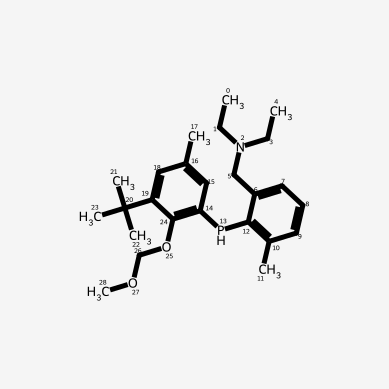 CCN(CC)Cc1cccc(C)c1Pc1cc(C)cc(C(C)(C)C)c1OCOC